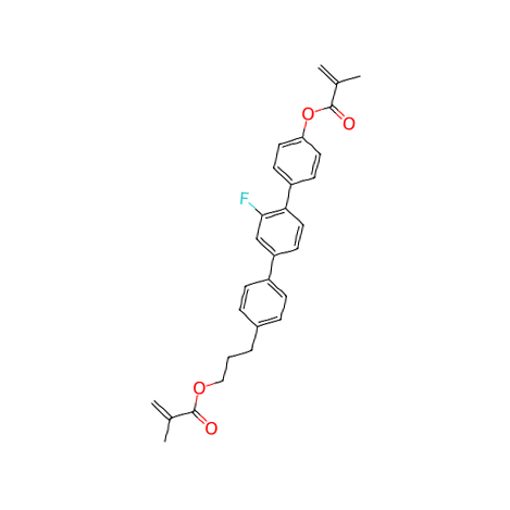 C=C(C)C(=O)OCCCc1ccc(-c2ccc(-c3ccc(OC(=O)C(=C)C)cc3)c(F)c2)cc1